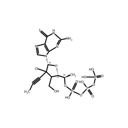 CC#CC1(Cl)C(CO)[C@@H]([C@@H](C)OP(=O)(O)OP(=O)(O)OP(=O)(O)O)O[C@H]1n1cnc2c(=S)[nH]c(N)nc21